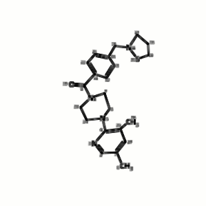 Cc1cnc(N2CCN(C(=O)c3ccc(CN4CCCS4)cc3)CC2)c(C)c1